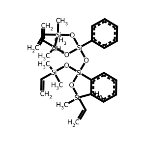 C=C[Si](C)(C)O[Si](O[Si](C)(C)C=C)(O[Si](O[Si](C)(C)C=C)(O[Si](C)(C)C=C)c1ccccc1)c1ccccc1